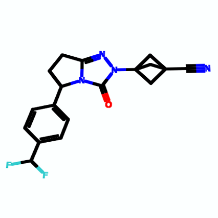 N#CC12CC(n3nc4n(c3=O)C(c3ccc(C(F)F)cc3)CC4)(C1)C2